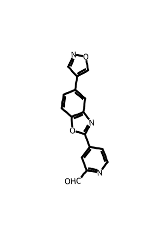 O=Cc1cc(-c2nc3cc(-c4cnoc4)ccc3o2)ccn1